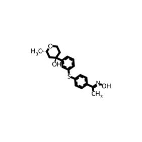 CC(=NO)c1ccc(Sc2cccc([C@@]3(O)CCO[C@@H](C)C3)c2)cc1